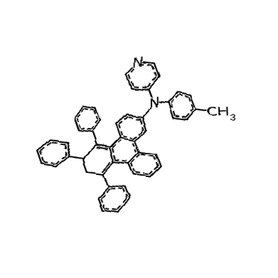 Cc1ccc(N(c2ccncc2)c2ccc3c4c(c5ccccc5c3c2)=C(c2ccccc2)CC(c2ccccc2)C=4c2ccccc2)cc1